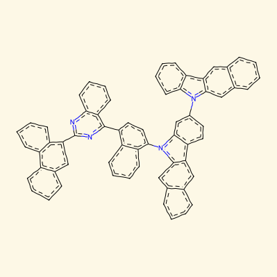 c1ccc2cc3c(cc2c1)c1ccccc1n3-c1ccc2c3cc4ccccc4cc3n(-c3ccc(-c4nc(-c5cc6ccccc6c6ccccc56)nc5ccccc45)c4ccccc34)c2c1